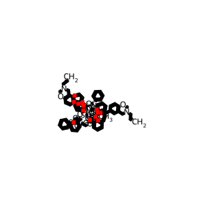 C=CCN1COc2ccc(CC[Si]3(C)O[Si]4(c5ccccc5)O[Si]5(c6ccccc6)O[Si]6(c7ccccc7)O[Si](C)(CCc7ccc8c(c7)CN(CC=C)CO8)O[Si]7(c8ccccc8)OC[Si]8(O[Si](c9ccccc9)(OC8(c8ccccc8)[Si](c8ccccc8)(O7)O[Si](c7ccccc7)(O4)O6)O3)O5)cc2C1